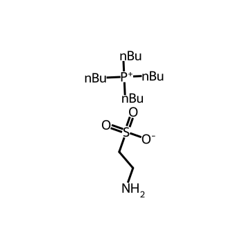 CCCC[P+](CCCC)(CCCC)CCCC.NCCS(=O)(=O)[O-]